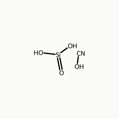 N#CO.O=[Si](O)O